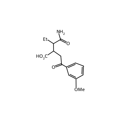 CCC(C(N)=O)C(CC(=O)c1cccc(OC)c1)C(=O)O